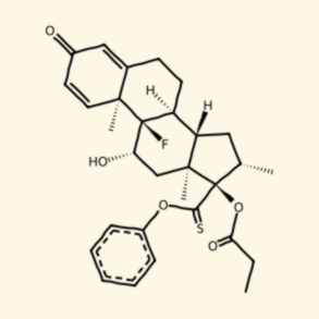 CCC(=O)O[C@]1(C(=S)Oc2ccccc2)[C@@H](C)C[C@H]2[C@@H]3CCC4=CC(=O)C=C[C@]4(C)[C@@]3(F)[C@@H](O)C[C@@]21C